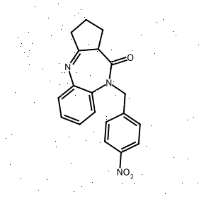 O=C1C2CCCC2=Nc2ccccc2N1Cc1ccc([N+](=O)[O-])cc1